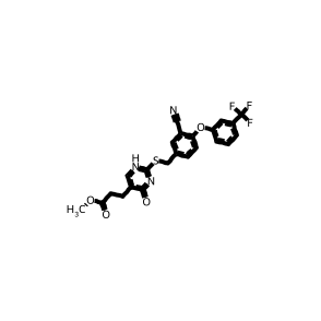 COC(=O)CCc1c[nH]c(SCc2ccc(Oc3cccc(C(F)(F)F)c3)c(C#N)c2)nc1=O